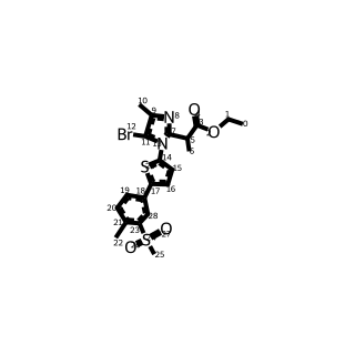 CCOC(=O)C(C)c1nc(C)c(Br)n1-c1ccc(-c2ccc(C)c(S(C)(=O)=O)c2)s1